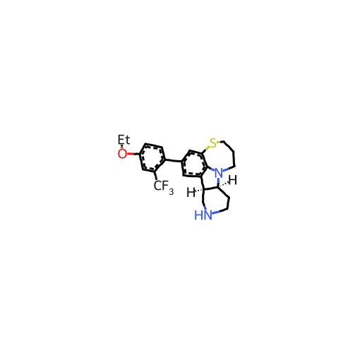 CCOc1ccc(-c2cc3c4c(c2)[C@@H]2CNCC[C@@H]2N4CCCS3)c(C(F)(F)F)c1